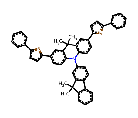 CC1(C)c2ccccc2-c2ccc(N3c4ccc(-c5ccc(-c6ccccc6)s5)cc4C(C)(C)c4cc(-c5ccc(-c6ccccc6)s5)ccc43)cc21